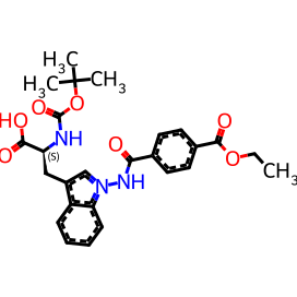 CCOC(=O)c1ccc(C(=O)Nn2cc(C[C@H](NC(=O)OC(C)(C)C)C(=O)O)c3ccccc32)cc1